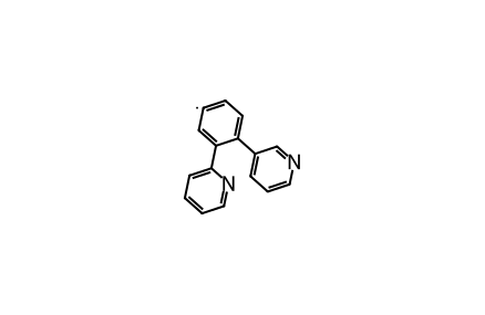 [c]1ccc(-c2cccnc2)c(-c2ccccn2)c1